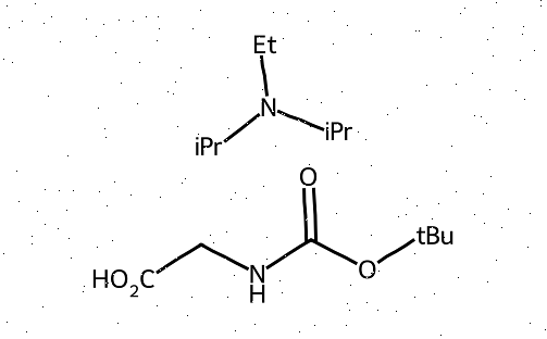 CC(C)(C)OC(=O)NCC(=O)O.CCN(C(C)C)C(C)C